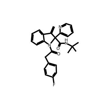 C=C1c2ccccc2N(C(=O)Cc2ccc(F)cc2)C1(C(=O)NC(C)(C)C)c1ccccn1